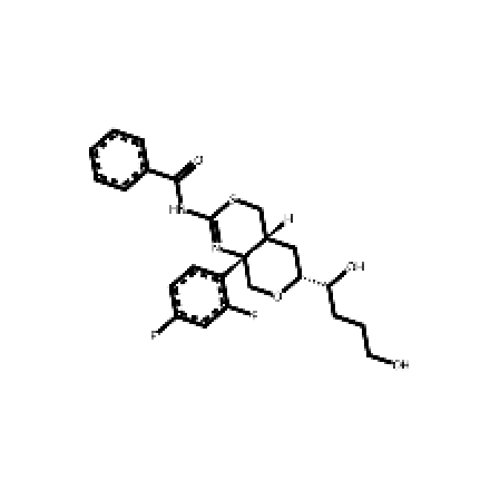 O=C(NC1=N[C@@]2(c3ccc(F)cc3F)CO[C@@H](C(O)CCCO)C[C@H]2CS1)c1ccccc1